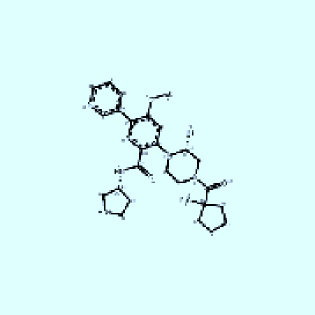 CCOc1cc(N2CCN(C(=O)C3(C(F)(F)F)CCCC3)C[C@H]2CC)c(C(=O)N[C@@H]2CCNC2)nc1-c1cccnc1